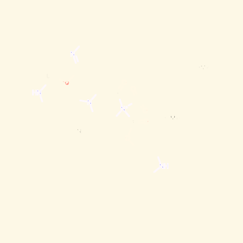 CCOc1ncccc1C1C(=O)[N+](C(=O)OC2CNc3ccccc32)(S(=O)(=O)c2ccc(OC)cc2OC)CC(C#N)N1C1CCNCC1